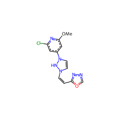 COc1cc(N2C=CN(/C=C\c3nnco3)N2)cc(Cl)n1